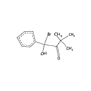 CC(C)(C)C(=O)C(O)(Br)c1ccccc1